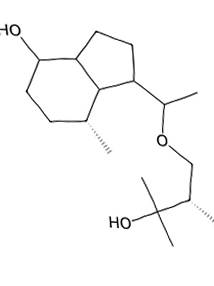 CC(OC[C@H](C)C(C)(C)O)C1CCC2C(O)CC[C@@H](C)C21